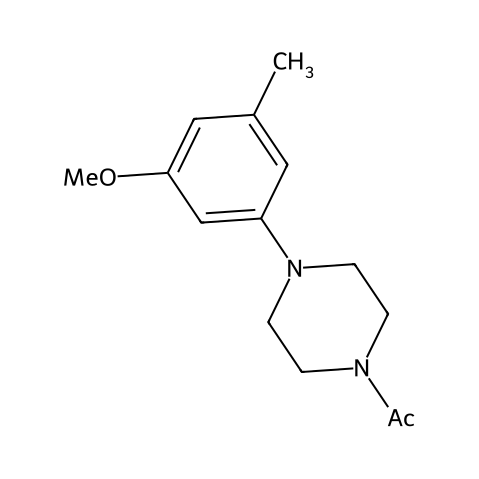 COc1cc(C)cc(N2CCN(C(C)=O)CC2)c1